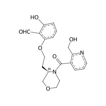 O=Cc1c(O)cccc1OCC[C@@H]1COCCN1C(=O)c1cccnc1CO